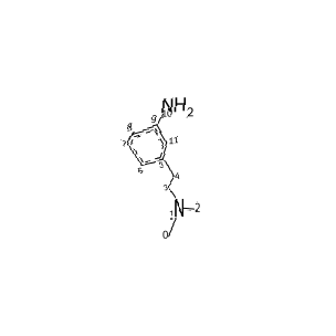 CN(C)CCc1cccc(N)c1